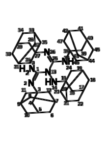 NC(=NC12CC3CC(CC(C3)C1)C2)N(NC12CC3CC(CC(C3)C1)C2)C(=NC12CC3CC(CC(C3)C1)C2)NC12CC3CC(CC(C3)C1)C2